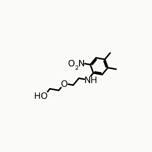 Cc1cc(NCCOCCO)c([N+](=O)[O-])cc1C